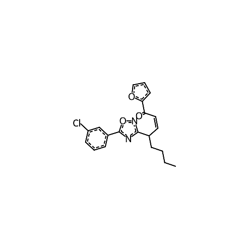 CCCCC(/C=C\C(=O)c1ccco1)c1noc(-c2cccc(Cl)c2)n1